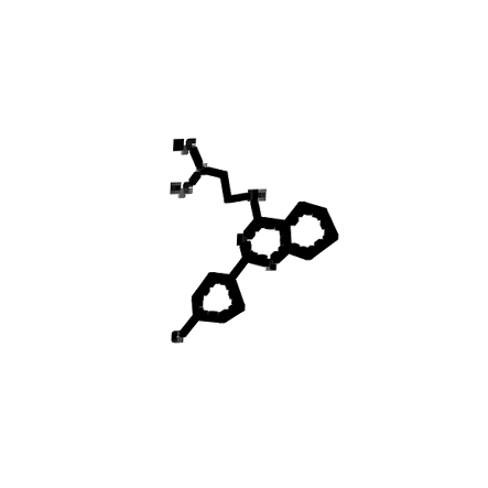 CN(C)CCNc1nc(-c2ccc(Cl)cc2)nc2ccccc12